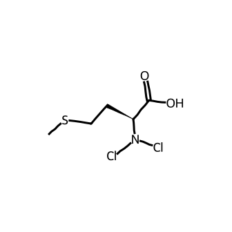 CSCC[C@@H](C(=O)O)N(Cl)Cl